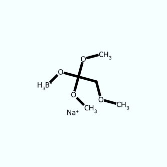 [BH3-]OC(COC)(OC)OC.[Na+]